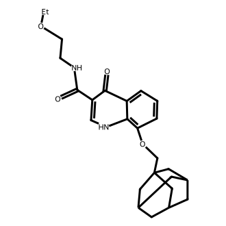 CCOCCNC(=O)c1c[nH]c2c(OCC34CC5CC(CC(C5)C3)C4)cccc2c1=O